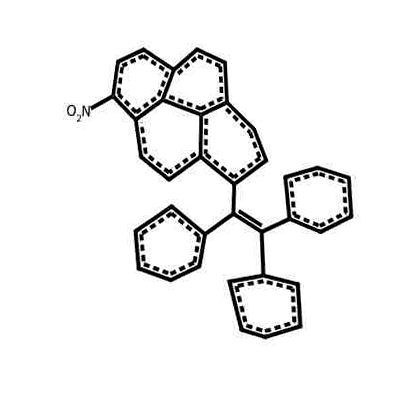 O=[N+]([O-])c1ccc2ccc3ccc(C(=C(c4ccccc4)c4ccccc4)c4ccccc4)c4ccc1c2c34